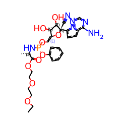 CCOCCOCCOC(=O)[C@H](C)NP(O/C=C1/O[C@@](C#N)(c2ccc3c(N)ncnn23)[C@H](O)[C@@H]1O)Oc1ccccc1